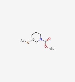 CC(=O)S[C@@H]1CCCN(C(=O)OC(C)(C)C)C1